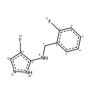 Fc1ccccc1CNc1[nH]ncc1F